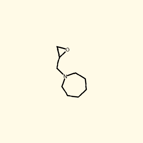 C1CCCN(CC2CO2)CC1